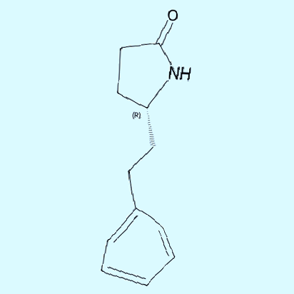 O=C1CC[C@@H](CCc2ccccc2)N1